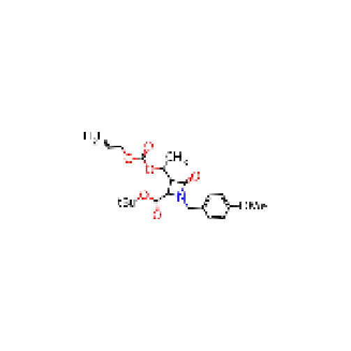 C=CCOC(=O)O[C@H](C)C1C(=O)N(Cc2ccc(OC)cc2)C1C(=O)OC(C)(C)C